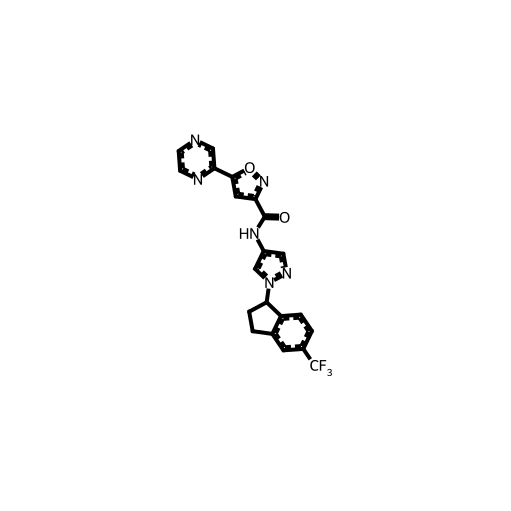 O=C(Nc1cnn(C2CCc3cc(C(F)(F)F)ccc32)c1)c1cc(-c2cnccn2)on1